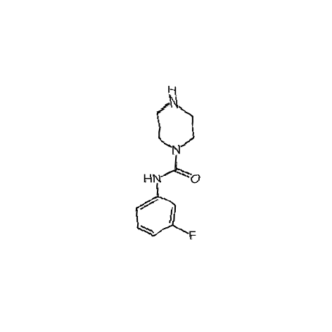 O=C(Nc1cccc(F)c1)N1CCNCC1